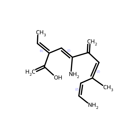 C=C(/C=C(C)\C=C/N)/C(N)=C/C(=C\C)C(=C)O